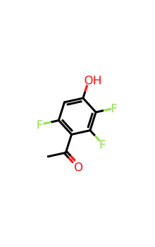 CC(=O)c1c(F)cc(O)c(F)c1F